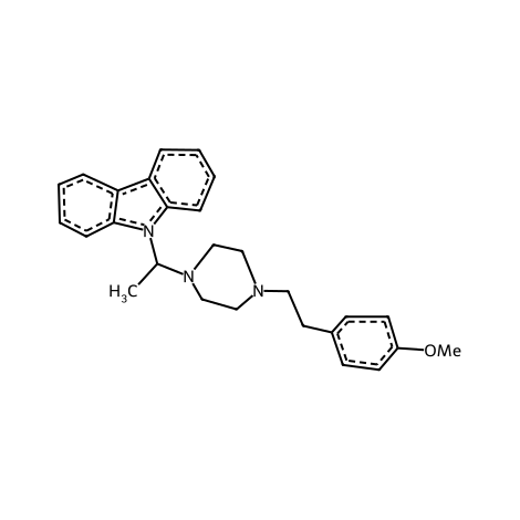 COc1ccc(CCN2CCN(C(C)n3c4ccccc4c4ccccc43)CC2)cc1